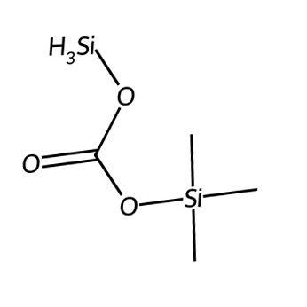 C[Si](C)(C)OC(=O)O[SiH3]